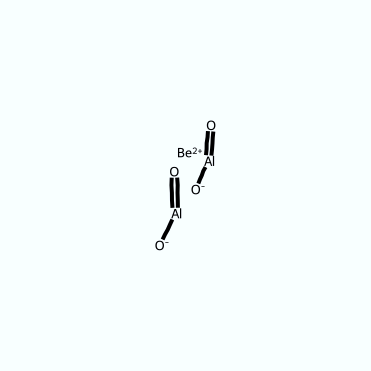 [Be+2].[O]=[Al][O-].[O]=[Al][O-]